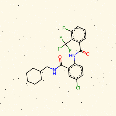 O=C(NCC1CCCCC1)c1cc(Cl)ccc1NC(=O)c1cccc(F)c1C(F)(F)F